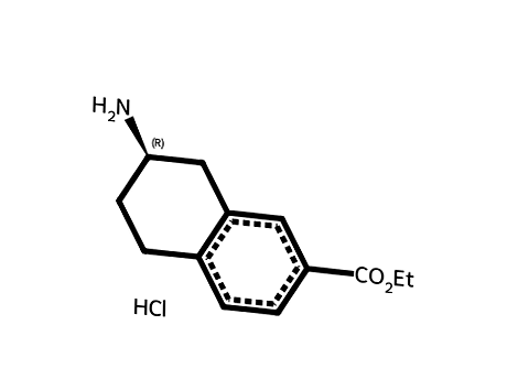 CCOC(=O)c1ccc2c(c1)C[C@H](N)CC2.Cl